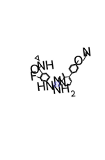 C=C1C(c2ccc(OCC#N)cc2)=CC=CN1/N=C(\N)Nc1ccc(C(=O)NC2CC2)c(F)c1